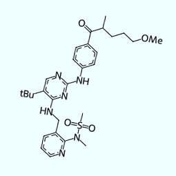 COCCCC(C)C(=O)c1ccc(Nc2ncc(C(C)(C)C)c(NCc3cccnc3N(C)S(C)(=O)=O)n2)cc1